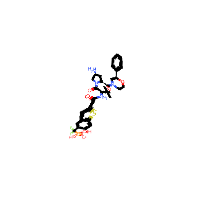 CC(C)(C)C(NC(=O)c1cc2cc(C(F)(F)P(=O)(O)O)ccc2s1)C(=O)N1C[C@@H](N)C[C@H]1C(=O)N1CCO[C@H](c2ccccc2)C1